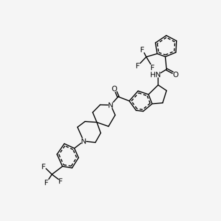 O=C(NC1CCc2ccc(C(=O)N3CCC4(CC3)CCN(c3ccc(C(F)(F)F)cc3)CC4)cc21)c1ccccc1C(F)(F)F